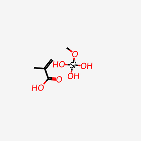 C=C(C)C(=O)O.CO[Si](O)(O)O